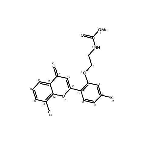 COC(=O)NCCOc1cc(Br)ccc1-c1cc(=O)c2cccc(Cl)c2o1